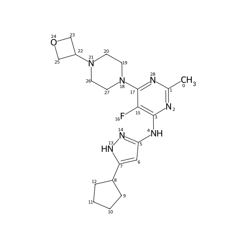 Cc1nc(Nc2cc(C3CCCC3)[nH]n2)c(F)c(N2CCN(C3COC3)CC2)n1